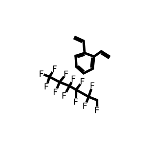 C=Cc1ccccc1C=C.FCC(F)(F)C(F)(F)C(F)(F)C(F)(F)C(F)(F)F